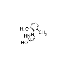 Cc1cccc(C)c1N1C=CN(O)N1